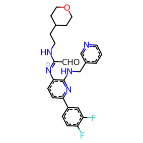 O=C/C(=N\c1ccc(-c2ccc(F)c(F)c2)nc1NCc1cccnc1)NCCC1CCOCC1